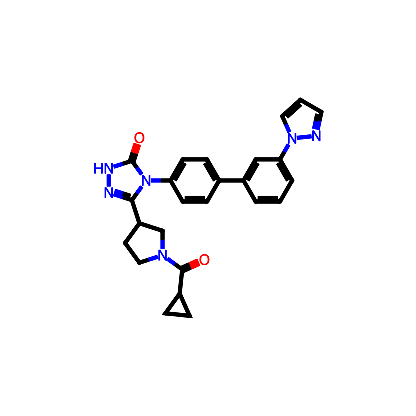 O=C(C1CC1)N1CCC(c2n[nH]c(=O)n2-c2ccc(-c3cccc(-n4cccn4)c3)cc2)C1